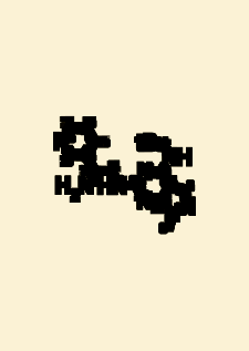 Cn1ncc2c(NC(C)(C)C)nc(NCC(N)c3cccnc3)nc21